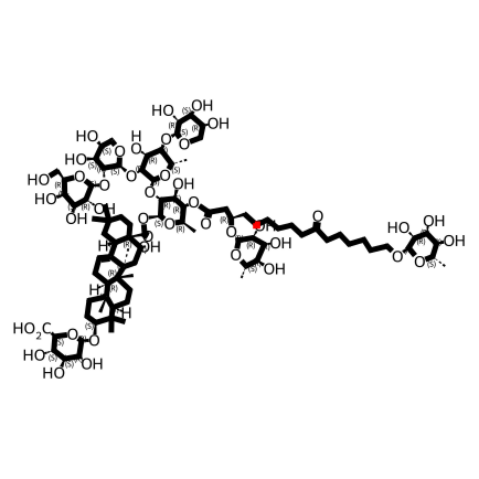 C[C@@H]1O[C@@H](OCCCCCCC(=O)CCCCCC[C@H](CC(=O)O[C@@H]2[C@H](O)[C@@H](O[C@@H]3O[C@@H](C)[C@H](O[C@@H]4OC[C@@H](O)[C@H](O)[C@H]4O)[C@@H](O)[C@H]3O[C@@H]3OC[C@H](O)[C@H](O)[C@H]3O[C@@H]3O[C@H](CO)[C@H](O)[C@H](O)[C@H]3O)[C@H](OC(=O)[C@]34CCC(C)(C)C[C@H]3C3=CC[C@@H]5[C@@]6(C)CC[C@H](O[C@@H]7O[C@H](C(=O)O)[C@@H](O)[C@H](O)[C@H]7O)C(C)(C)[C@@H]6CC[C@@]5(C)[C@]3(C)C[C@H]4O)O[C@@H]2C)O[C@@H]2O[C@@H](C)[C@H](O)[C@@H](O)[C@H]2O)[C@H](O)[C@H](O)[C@H]1O